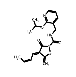 C=c1sn(C(=O)NCc2cccnc2OC(C)C)c(=O)/c1=C/C=C\C